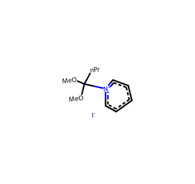 CCCC(OC)(OC)[n+]1ccccc1.[I-]